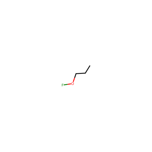 CCCOF